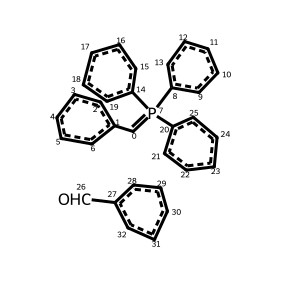 C(c1ccccc1)=P(c1ccccc1)(c1ccccc1)c1ccccc1.O=Cc1ccccc1